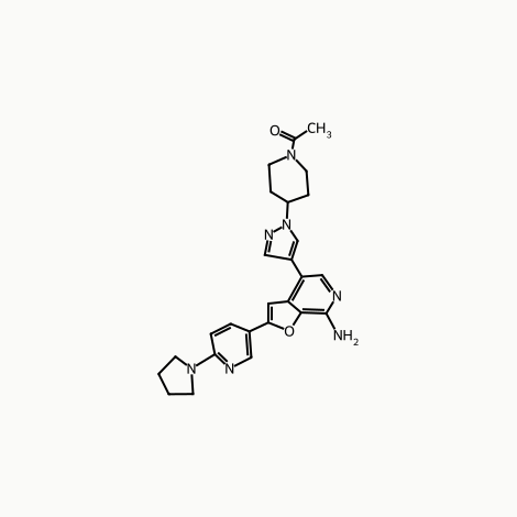 CC(=O)N1CCC(n2cc(-c3cnc(N)c4oc(-c5ccc(N6CCCC6)nc5)cc34)cn2)CC1